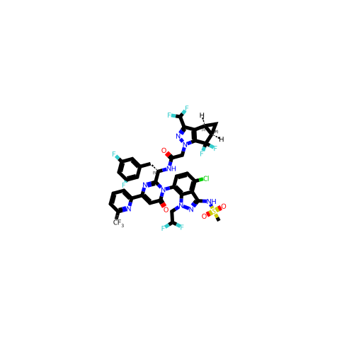 CS(=O)(=O)Nc1nn(CC(F)F)c2c(-n3c([C@H](Cc4cc(F)cc(F)c4)NC(=O)Cn4nc(C(F)F)c5c4C(F)(F)[C@@H]4C[C@H]54)nc(-c4cccc(C(F)(F)F)n4)cc3=O)ccc(Cl)c12